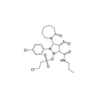 CCCNC(=O)C1C(=S=O)C(N2CCCCCC2=O)N(c2ccc(Cl)cc2)N1OS(=O)(=O)CCCl